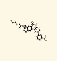 CCCCCC(=O)N[C@@H]1CCc2ccc(C(=O)N(C)C3CCN(c4ccnc(N(C)C)n4)CC3)cc21